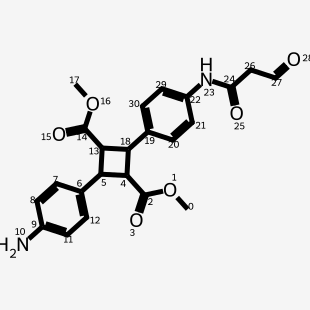 COC(=O)C1C(c2ccc(N)cc2)C(C(=O)OC)C1c1ccc(NC(=O)CC=O)cc1